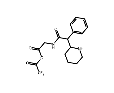 O=C(CNC(=O)C(c1ccccc1)C1CCCCN1)OC(=O)C(F)(F)F